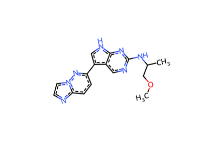 COCC(C)Nc1ncc2c(-c3ccc4nccn4n3)c[nH]c2n1